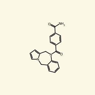 NC(=O)c1ccc(C(=O)N2Cc3cccn3Cc3ccccc32)cc1